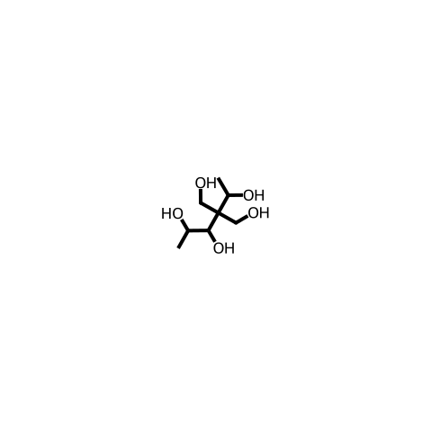 CC(O)C(O)C(CO)(CO)C(C)O